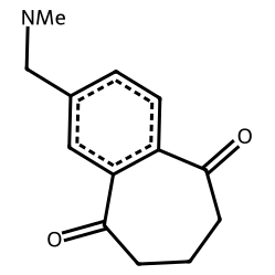 CNCc1ccc2c(c1)C(=O)CCCC2=O